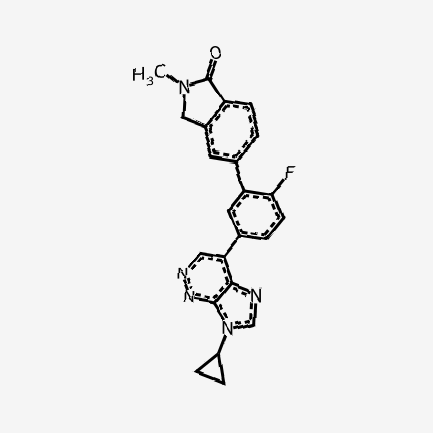 CN1Cc2cc(-c3cc(-c4cnnc5c4ncn5C4CC4)ccc3F)ccc2C1=O